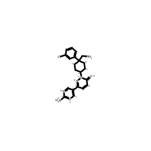 NCC1(c2cccc(Cl)c2)CCC(n2nc(-c3cnc(N)nc3)ccc2=O)CC1